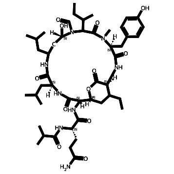 CCC(C)C1C(=O)N(C)[C@@H](Cc2ccc(O)cc2)C(=O)N[C@@H]2C(=O)O[C@H](CC2CC)[C@H](NC(=O)[C@H](CCC(N)=O)NC(=O)C(C)C)C(=O)N[C@@H](CC(C)C)C(=O)NC(CC(C)C)C[C@H](O)N1C=O